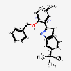 C=C/C=C(C1=Nc2cc(C(C)(C)C)ccc2C1)\C(=C/C)OCc1ccccc1